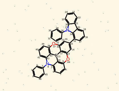 c1ccc(N2c3cccc4c3B3c5c(cc(-c6cccc7c8ccccc8n(-c8ccccc8)c67)cc5Oc5cccc2c53)O4)cc1